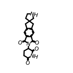 O=C1CCC(N2C(=O)c3cc4c(cc3C2=O)CC2(CCNC2)C4)C(=O)N1